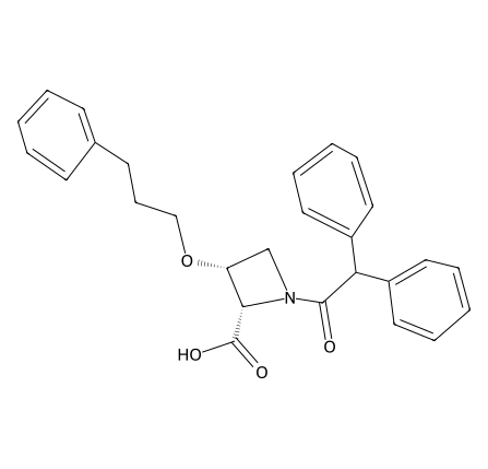 O=C(O)[C@@H]1[C@H](OCCCc2ccccc2)CN1C(=O)C(c1ccccc1)c1ccccc1